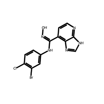 O/N=C(/Nc1ccc(Cl)c(Br)c1)c1ccnc2[nH]cnc12